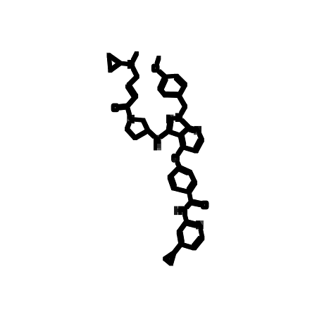 COc1ccc(Cn2nc(NC3CCN(C(=O)/C=C/CN(C)C4CC4)C3)c3c(Oc4ccc(C(=O)Nc5cc(C6CC6)ccn5)cc4)ccnc32)cc1